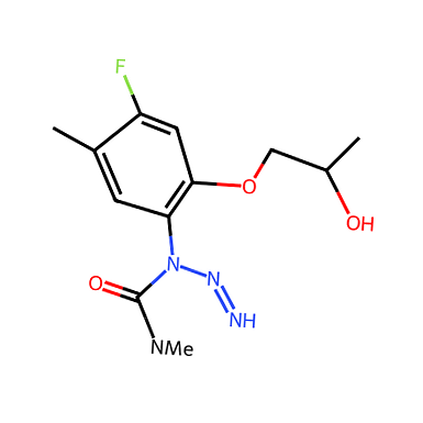 CNC(=O)N(N=N)c1cc(C)c(F)cc1OCC(C)O